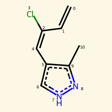 C=C/C(Cl)=C\c1c[nH]nc1C